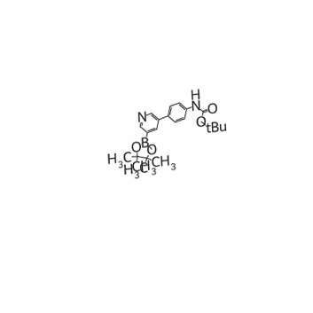 CC(C)(C)OC(=O)Nc1ccc(-c2cncc(B3OC(C)(C)C(C)(C)O3)c2)cc1